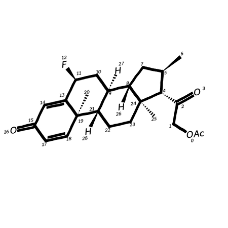 CC(=O)OCC(=O)[C@H]1[C@H](C)C[C@H]2[C@@H]3C[C@H](F)C4=CC(=O)C=C[C@]4(C)[C@H]3CC[C@@]21C